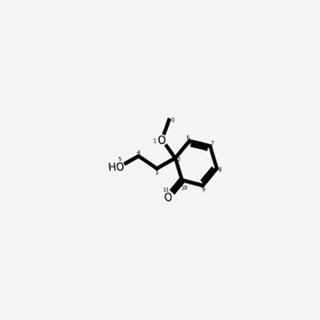 COC1(CCO)[C]=CC=CC1=O